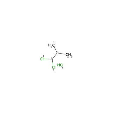 CC(C)C(Cl)Cl.Cl